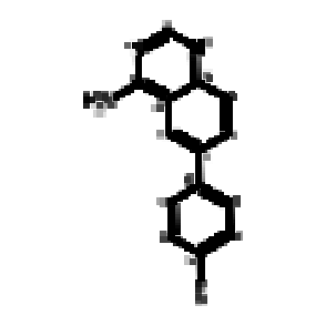 Nc1ncnc2ccc(-c3ccc(F)cc3)cc12